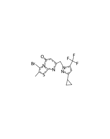 Cc1sc2nc(Cn3nc(C4CC4)cc3C(F)(F)F)cc(=O)n2c1Br